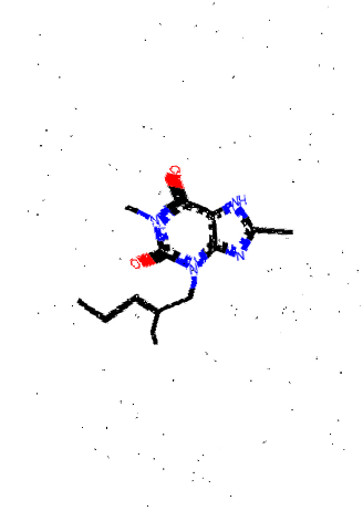 CCCC(C)Cn1c(=O)n(C)c(=O)c2[nH]c(C)nc21